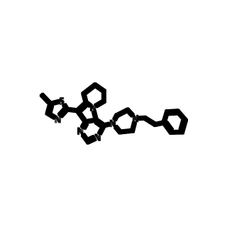 Cc1cnc(-c2c3n(c4c(N5CCN(CCc6ccccc6)CC5)ncnc24)CCCC3)s1